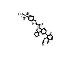 Cc1ccc(F)c(CC#N)c1-c1ccc2c(c1)C1(CCCC1)CN2C(=O)NCc1ccc(S(N)(=O)=O)cc1